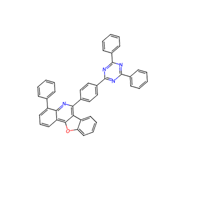 c1ccc(-c2nc(-c3ccccc3)nc(-c3ccc(-c4nc5c(-c6ccccc6)cccc5c5oc6ccccc6c45)cc3)n2)cc1